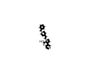 O=C(O)[C@@H]1C(c2cccnc2)CCN1CCC1CCN(Cc2ccccc2)CC1